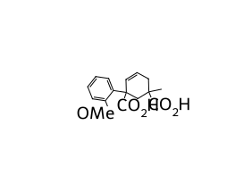 COc1ccccc1C1(C(=O)O)C=CCC(C)(C(=O)O)C1